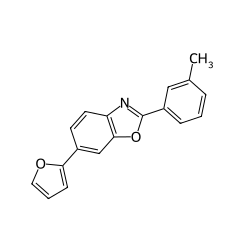 Cc1cccc(-c2nc3ccc(-c4ccco4)cc3o2)c1